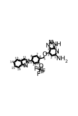 Nc1cc(OCc2ccc(-n3cc4ccccc4n3)cc2OC(F)(F)F)c2nn[nH]c2n1